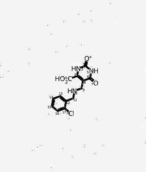 O=C(O)c1[nH]c(=O)[nH]c(=O)c1CNCc1ccccc1Cl